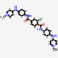 C[n+]1ccc(Nc2ccc(NC(=O)c3ccc(C(=O)Nc4ccc(Nc5cc[n+](C)cc5)cc4)c(Br)c3)cc2)cc1